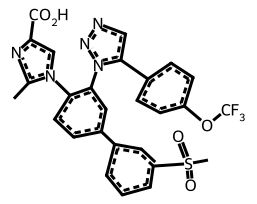 Cc1nc(C(=O)O)cn1-c1ccc(-c2cccc(S(C)(=O)=O)c2)cc1-n1nncc1-c1ccc(OC(F)(F)F)cc1